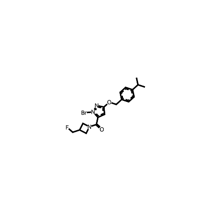 CC(C)c1ccc(COc2cc(C(=O)N3CC(CF)C3)n(Br)n2)cc1